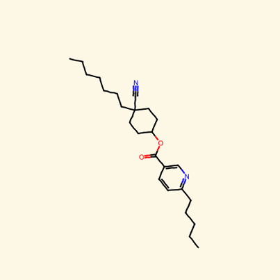 CCCCCCCC1(C#N)CCC(OC(=O)c2ccc(CCCCC)nc2)CC1